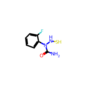 NC(=O)N(NS)c1ccccc1F